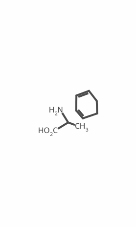 C1=CCCC=C1.CC(N)C(=O)O